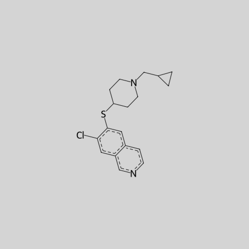 Clc1cc2cnccc2cc1SC1CCN(CC2CC2)CC1